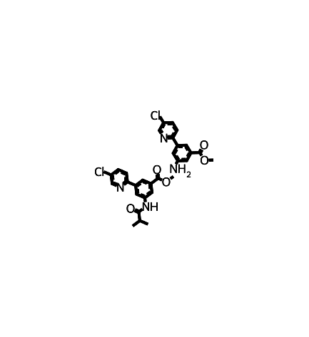 COC(=O)c1cc(N)cc(-c2ccc(Cl)cn2)c1.COC(=O)c1cc(NC(=O)C(C)C)cc(-c2ccc(Cl)cn2)c1